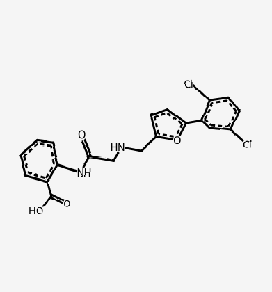 O=C(CNCc1ccc(-c2cc(Cl)ccc2Cl)o1)Nc1ccccc1C(=O)O